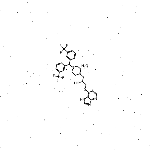 O.OC(CSc1ncnc2nc[nH]c12)CN1CCN(C(c2cccc(C(F)(F)F)c2)c2cccc(C(F)(F)F)c2)CC1